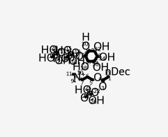 CCCCCCCCCCCC(=O)OCCC[N+](C)(C)C.O=P(O)(O)O.O=P(O)(O)O.O=P([O-])(O)O.OC1C(O)C(O)C(O)C(O)C1O